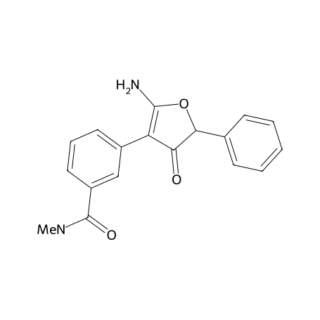 CNC(=O)c1cccc(C2=C(N)OC(c3ccccc3)C2=O)c1